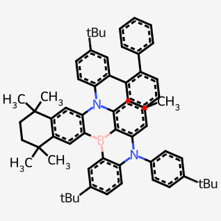 Cc1cc2c3c(c1)N(c1ccc(C(C)(C)C)cc1-c1ccccc1-c1ccccc1)c1cc4c(cc1B3c1cc(C(C)(C)C)ccc1N2c1ccc(C(C)(C)C)cc1)C(C)(C)CCC4(C)C